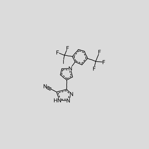 N#Cc1[nH]nnc1-c1ccn(-c2cc(C(F)(F)F)ccc2C(F)(F)I)c1